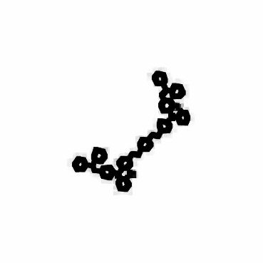 CCc1ccccc1N(c1ccc(C=C(c2ccccc2)c2ccccc2)cc1)c1ccc(/C=C/c2ccc(/C=C/c3ccc(N(c4ccc(CC(c5ccccc5)c5ccccc5)cc4)c4ccccc4CC)cc3)cc2)cc1